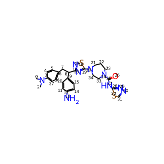 CN(C)c1ccc(CC(c2ccc(N)cc2)c2nsc(N3CCCN(C(=O)Nc4nncs4)CC3)n2)cc1